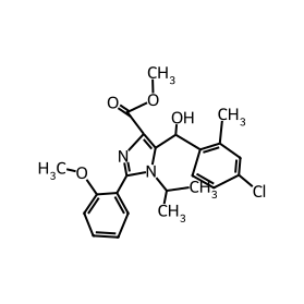 COC(=O)c1nc(-c2ccccc2OC)n(C(C)C)c1C(O)c1ccc(Cl)cc1C